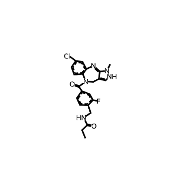 CCC(=O)NCc1ccc(C(=O)N2CC3=CNN(C)C3=Nc3cc(Cl)ccc32)cc1F